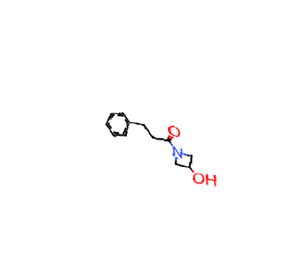 O=C(CCc1ccccc1)N1CC(O)C1